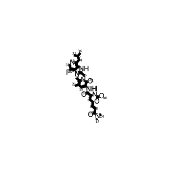 COC(=O)NC(CC/C=C/C(=O)N(C)C)C(=O)Nc1cc(C)c(C)n(Cc2nc3c(F)cnc(CC(C)C)c3[nH]2)c1=O